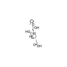 Cc1ccccc1OC[C@H](O)/C=C/[C@@H]1[C@H]2CC[C@H](CCCC(=O)O)CO[C@H]2C[C@H]1O